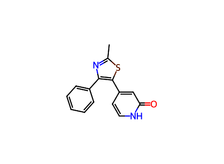 Cc1nc(-c2ccccc2)c(-c2cc[nH]c(=O)c2)s1